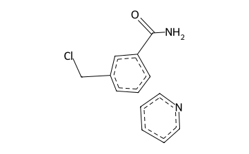 NC(=O)c1cccc(CCl)c1.c1ccncc1